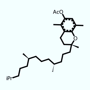 CC(=O)Oc1cc(C)c2c(c1C)CC[C@@](C)(CCC[C@H](C)CCC[C@H](C)CCCC(C)C)O2